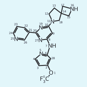 FC(F)(F)Oc1ccnc(Nc2cc(N3CCC4(CNC4)C3)nc(-c3cccnc3)n2)c1